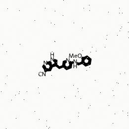 [C-]#[N+]c1cnc2[nH]cc(Cc3ccc(NCc4ccccc4OC)nc3)c2c1